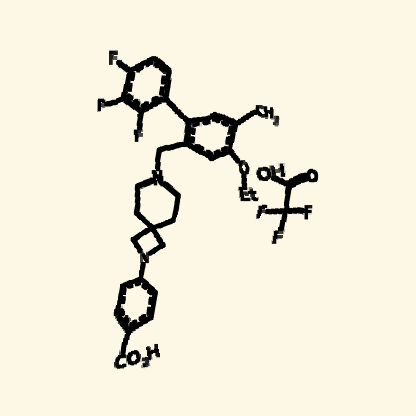 CCOc1cc(CN2CCC3(CC2)CN(c2ccc(C(=O)O)cc2)C3)c(-c2ccc(F)c(F)c2F)cc1C.O=C(O)C(F)(F)F